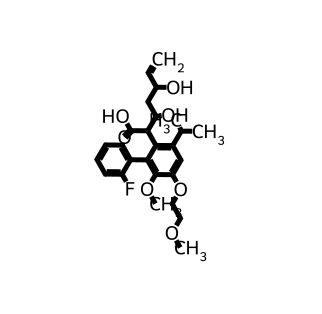 C=CC(O)CC(O)C(C(=O)O)c1c(C(C)C)cc(OCCOC)c(OC)c1-c1ccccc1F